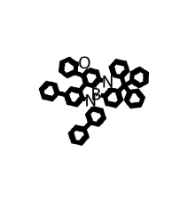 c1ccc(-c2cccc(N3B4c5cccc6c5N(c5ccccc5C6(c5ccccc5)c5ccccc5)c5cc6oc7ccccc7c6c(c54)-c4cc(-c5ccccc5)ccc43)c2)cc1